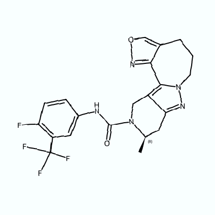 C[C@@H]1Cc2nn3c(c2CN1C(=O)Nc1ccc(F)c(C(F)(F)F)c1)-c1nocc1CCC3